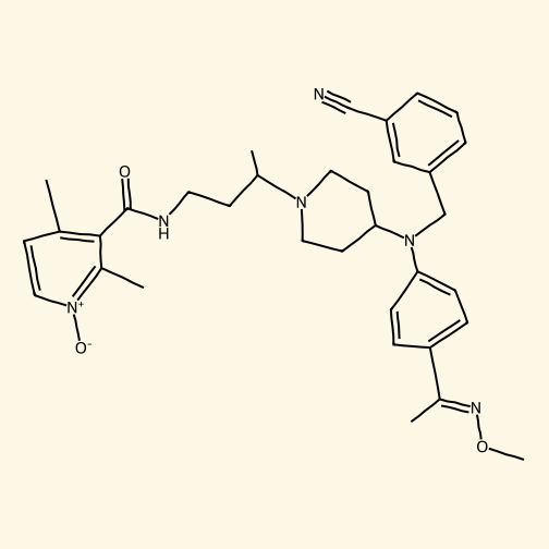 CON=C(C)c1ccc(N(Cc2cccc(C#N)c2)C2CCN(C(C)CCNC(=O)c3c(C)cc[n+]([O-])c3C)CC2)cc1